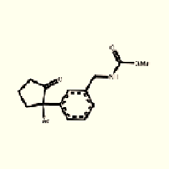 COC(=O)NCc1cccc([C@]2(C(C)=O)CCCC2=O)c1